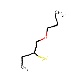 [CH2]CCOCC(S)CC